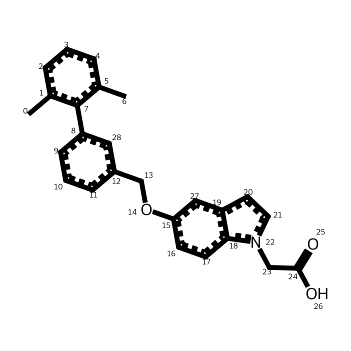 Cc1cccc(C)c1-c1cccc(COc2ccc3c(ccn3CC(=O)O)c2)c1